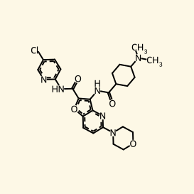 CN(C)C1CCC(C(=O)Nc2c(C(=O)Nc3ccc(Cl)cn3)oc3ccc(N4CCOCC4)nc23)CC1